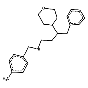 Cc1ccc(CNCCC(Cc2ccccc2)C2CCOCC2)cc1